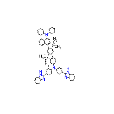 CC1(C)c2cc(N(c3ccc(-c4nc5c([nH]4)C=CCC5)cc3)c3ccc(-c4nc5ccccc5[nH]4)cc3)ccc2-c2cc3c(cc21)-c1c(cc(N(c2ccccc2)c2ccccc2)c2ccccc12)C3(C)C